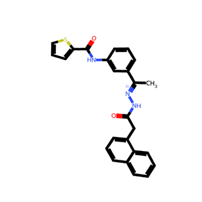 C/C(=N\NC(=O)Cc1cccc2ccccc12)c1cccc(NC(=O)c2cccs2)c1